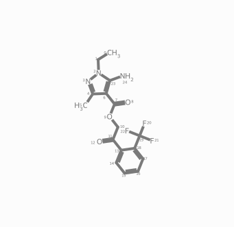 CCn1nc(C)c(C(=O)OCC(=O)c2ccccc2C(F)(F)F)c1N